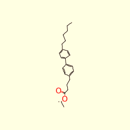 C[CH]OC(=O)CCCc1ccc(-c2ccc(CCCCCC)cc2)cc1